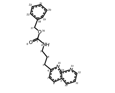 O=C(NCCCc1ccc2cccnc2n1)OCc1ccccc1